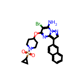 Nc1c(Br)c(OC2CCN(S(=O)(=O)C3CC3)CC2)nc2c(-c3ccc4ccccc4c3)cnn12